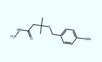 COc1ccc(CSC(C)(C)CC(=O)NN)cc1